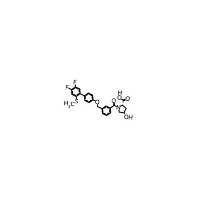 CSc1cc(F)c(F)cc1-c1ccc(OCc2cccc(C(=O)N3C[C@H](O)C[C@H]3C(=O)O)c2)cc1